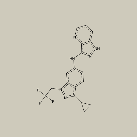 FC(F)(F)Cn1nc(C2CC2)c2ccc(Nc3n[nH]c4cccnc34)cc21